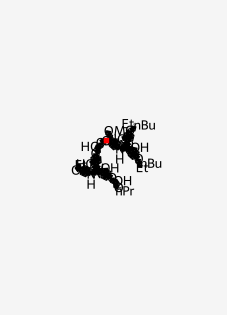 CCCCC(CC)COc1ccc(-c2nc(Nc3ccc(C(=O)CCOC)cc3)nc(-c3ccc(OCC(CC)CCCC)cc3O)n2)c(O)c1.CCCOCC(O)COc1ccc(-c2nc(Nc3ccc(C(=O)CC)cc3)nc(-c3ccc(OCC(O)COCCC)cc3O)n2)c(O)c1